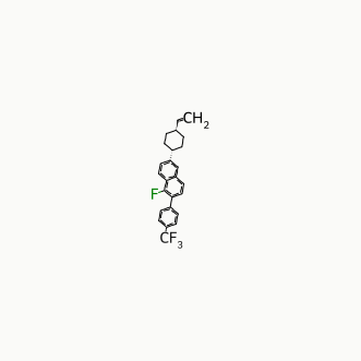 C=C[C@H]1CC[C@H](c2ccc3c(F)c(-c4ccc(C(F)(F)F)cc4)ccc3c2)CC1